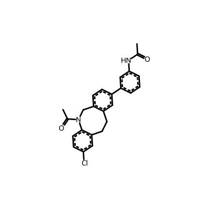 CC(=O)Nc1cccc(-c2ccc3c(c2)CCc2cc(Cl)ccc2N(C(C)=O)C3)c1